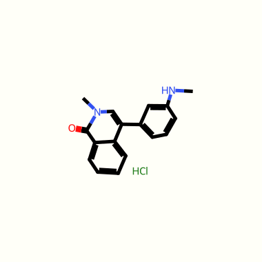 CNc1cccc(-c2cn(C)c(=O)c3ccccc23)c1.Cl